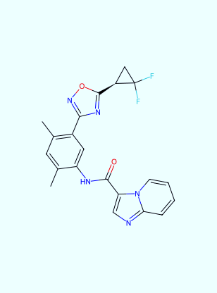 Cc1cc(C)c(-c2noc([C@H]3CC3(F)F)n2)cc1NC(=O)c1cnc2ccccn12